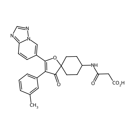 Cc1cccc(C2=C(c3ccc4ncnn4c3)OC3(CCC(NC(=O)CC(=O)O)CC3)C2=O)c1